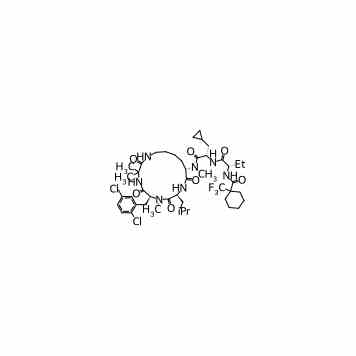 CC[C@H](NC(=O)C1(C(F)(F)F)CCCCC1)C(=O)N[C@@H](CC1CC1)C(=O)N(C)[C@H]1CCCCNC(=O)C(C)(C)NC(=O)[C@H](Cc2cc(Cl)ccc2Cl)N(C)C(=O)[C@H](CC(C)C)NC1=O